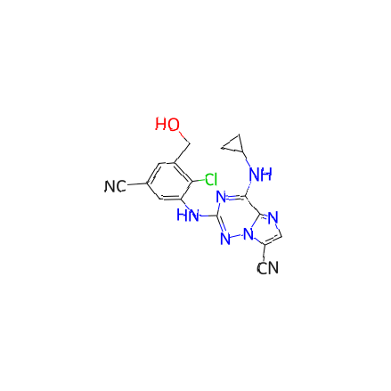 N#Cc1cc(CO)c(Cl)c(Nc2nc(NC3CC3)c3ncc(C#N)n3n2)c1